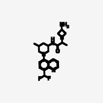 CC1CC(NC(=O)C(C)N2CC(N)C2)CN(c2ccc(C(F)F)c3ncccc23)C1